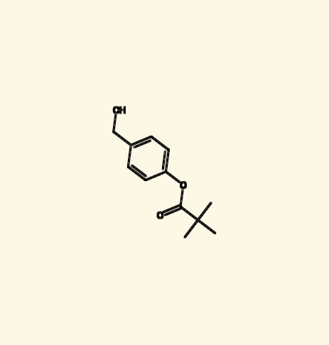 CC(C)(C)C(=O)Oc1ccc(CO)cc1